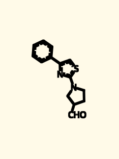 O=CC1CCN(c2nc(-c3ccccc3)cs2)C1